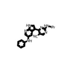 CC(C)Nc1ncc(C#N)c(-c2c[nH]c3ncc(Nc4ccccc4)cc23)n1